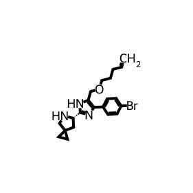 C=CCCCOCc1[nH]c([C@@H]2CC3(CC3)CN2)nc1-c1ccc(Br)cc1